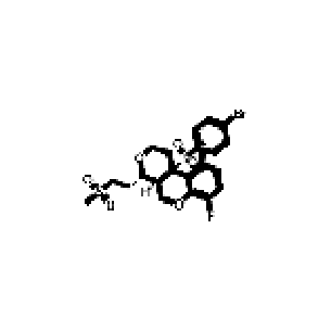 CS(=O)(=O)CC[C@@H]1OCC[C@@]2(S(=O)(=O)c3ccc(Br)cc3)c3c(F)ccc(F)c3OC[C@@H]12